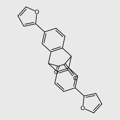 O=C1C(=O)C2c3ccc(-c4ccco4)cc3C1c1ccc(-c3ccco3)cc12